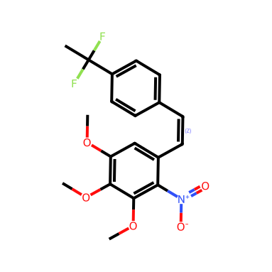 COc1cc(/C=C\c2ccc(C(C)(F)F)cc2)c([N+](=O)[O-])c(OC)c1OC